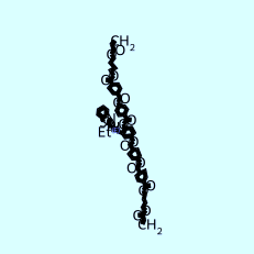 C=CC(=O)OCCCCOC(=O)C1CCC(C(=O)OC2CCC(C(=O)Oc3ccc(OC(=O)C4CCC(OC(=O)C5CCC(C(=O)OCCCCOC(=O)C=C)CC5)CC4)c(/C=N/N(CC)c4nc5ccccc5s4)c3)CC2)CC1